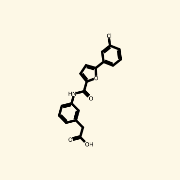 O=C(O)Cc1cccc(NC(=O)c2ccc(-c3cccc(Cl)c3)o2)c1